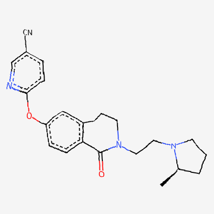 C[C@@H]1CCCN1CCN1CCc2cc(Oc3ccc(C#N)cn3)ccc2C1=O